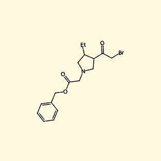 CCC1CN(CC(=O)OCc2ccccc2)CC1C(=O)CBr